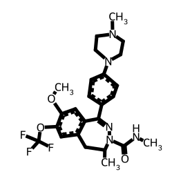 CNC(=O)N1N=C(c2ccc(N3CCN(C)CC3)cc2)c2cc(OC)c(OC(F)(F)F)cc2CC1C